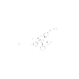 CCCOc1ccc(C2=C(c3ccccc3)C(c3ccccc3)=C(c3ccc(OCCC)cc3)[Si]2(C)C)cc1